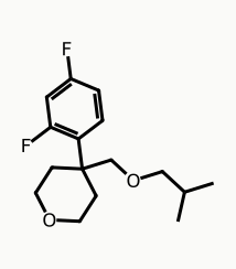 CC(C)COCC1(c2ccc(F)cc2F)CCOCC1